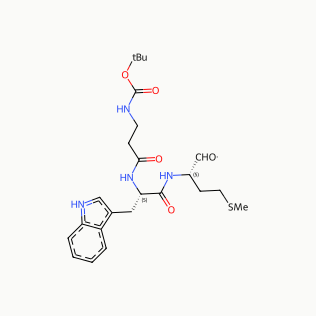 CSCC[C@@H]([C]=O)NC(=O)[C@H](Cc1c[nH]c2ccccc12)NC(=O)CCNC(=O)OC(C)(C)C